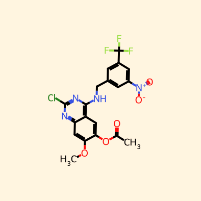 COc1cc2nc(Cl)nc(NCc3cc([N+](=O)[O-])cc(C(F)(F)F)c3)c2cc1OC(C)=O